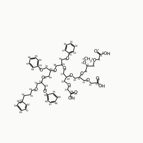 COC(COCC(=O)O)COC(COCC(=O)O)COC(COCC(=O)O)COC(COc1ccccc1)COC(COc1ccccc1)COC(COCCCc1ccccc1)COc1ccccc1